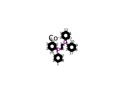 [Co].c1ccc(P(CCP(c2ccccc2)c2ccccc2)c2ccccc2)cc1